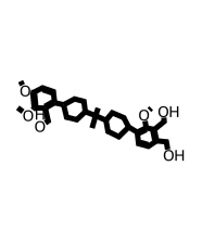 COc1ccc(C2CCC(C(C)(C)C3CCC(c4ccc(CO)c(CO)c4OC)CC3)CC2)c(CO)c1OC